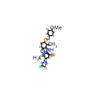 COc1ccc(COc2ccc(C)c(Nc3nc(C)c(N4CC[C@@H](F)C4)cc3Br)c2C)cc1